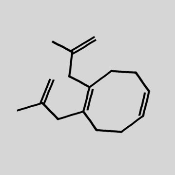 C=C(C)C/C1=C(\CC(=C)C)CC/C=C\CC1